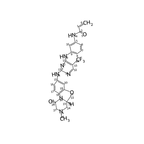 C=CC(=O)Nc1cccc(Nc2nc(Nc3ccc4c(c3)OC[C@@H]3CN(C)CC(=O)N43)ncc2C(F)(F)F)c1